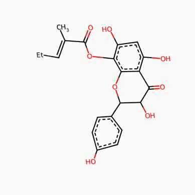 CCC=C(C)C(=O)Oc1c(O)cc(O)c2c1OC(c1ccc(O)cc1)C(O)C2=O